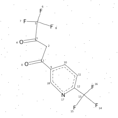 O=C(CC(=O)C(F)(F)F)c1ccc(C(F)(F)F)nc1